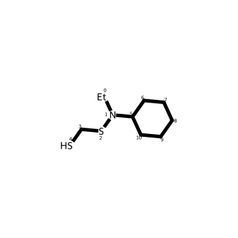 CCN(SCS)C1CCCCC1